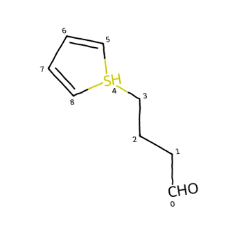 O=CCCC[SH]1C=CC=C1